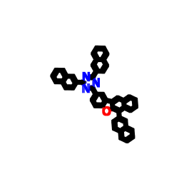 c1ccc2cc(-c3nc(-c4ccc5ccccc5c4)nc(-c4ccc5oc6c(-c7ccc8ccccc8c7)c7ccccc7cc6c5c4)n3)ccc2c1